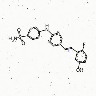 NS(=O)(=O)c1ccc(Nc2ncc(/C=C/c3cc(O)ccc3F)cn2)cc1